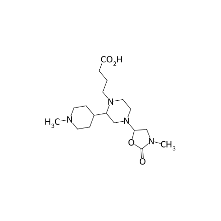 CN1CCC(C2CN(C3CN(C)C(=O)O3)CCN2CCCC(=O)O)CC1